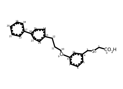 O=C(O)CSCc1cccc(OCCCc2ccc(-c3ccccc3)cc2)c1